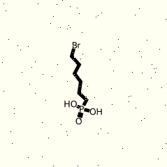 O=P(O)(O)CCCCCCBr